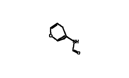 O=CNC1=COC=CC1